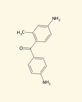 Cc1cc(N)ccc1C(=O)c1ccc(N)cc1